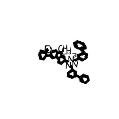 CC1(C)c2cc(-c3nc(-c4cccc(-c5ccccc5)c4)nc(-c4cccc(-c5ccccc5)c4)n3)ccc2-c2cc3c(cc21)oc1ccccc13